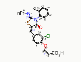 CCC/N=C1\S/C(=C/c2ccc(O/C=C\C(=O)O)c(Cl)c2)C(=O)N1c1ccccc1C